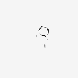 O=C(Cc1ccccc1)OP.[Ru]